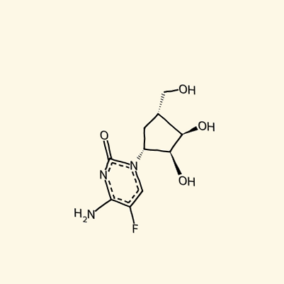 Nc1nc(=O)n([C@@H]2C[C@H](CO)[C@@H](O)[C@H]2O)cc1F